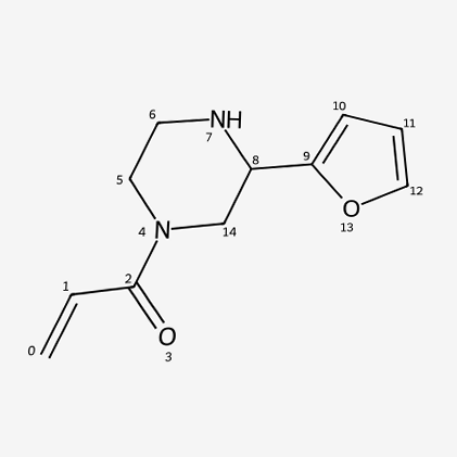 C=CC(=O)N1CCNC(c2ccco2)C1